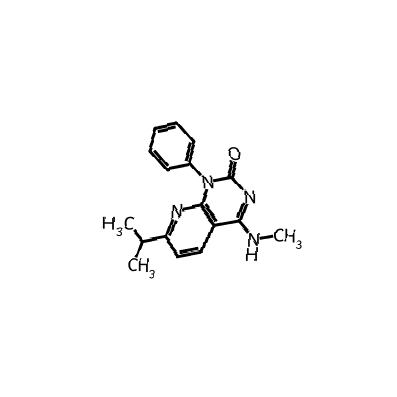 CNc1nc(=O)n(-c2ccccc2)c2nc(C(C)C)ccc12